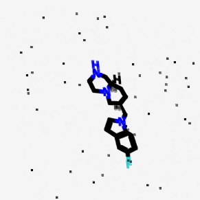 Fc1ccc2c(ccn2C[C@@H]2CC[C@H]3CNCCN3C2)c1